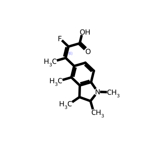 C/C(=C(\F)C(=O)O)c1ccc2c(c1C)C(C)C(C)N2C